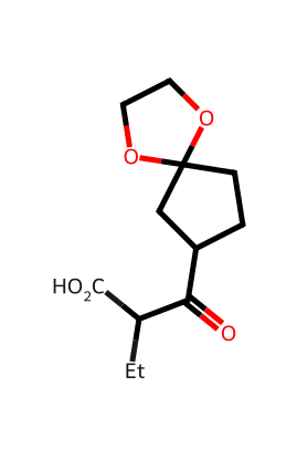 CCC(C(=O)O)C(=O)C1CCC2(C1)OCCO2